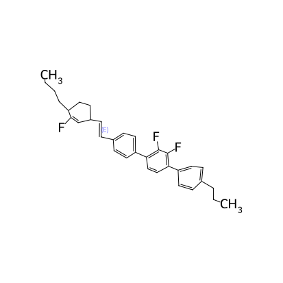 CCCCC1CCC(/C=C/c2ccc(-c3ccc(-c4ccc(CCC)cc4)c(F)c3F)cc2)C=C1F